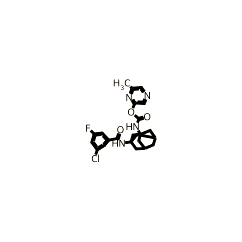 Cc1cncc(OC(=O)NC23CC4CC(C2)CC(NC(=O)c2cc(F)cc(Cl)c2)(C4)C3)n1